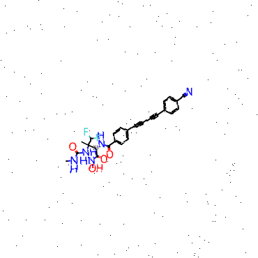 CNC(=O)NC(C)(C(F)F)[C@H](NC(=O)c1ccc(C#CC#Cc2ccc(C#N)cc2)cc1)C(=O)NO